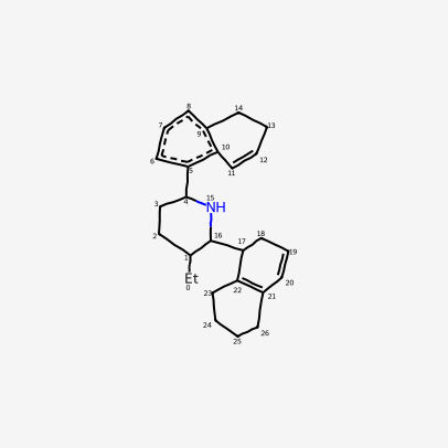 CCC1CCC(c2cccc3c2C=CCC3)NC1C1CC=CC2=C1CCCC2